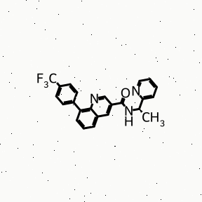 C[C@@H](NC(=O)c1cnc2c(-c3ccc(C(F)(F)F)cc3)cccc2c1)c1ccccn1